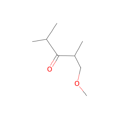 COCC(C)C(=O)C(C)C